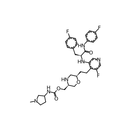 CN1CCC(NC(=O)OC[C@@H]2CO[C@H](CCc3c(F)cncc3N[C@@H](Cc3ccc(F)cc3)C(=O)Nc3ccc(F)cc3)CN2)C1